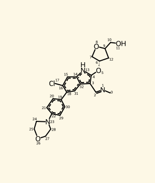 C/N=C/c1c(O[C@@H]2COC(CO)C2)[nH]c2cc(Cl)c(-c3ccc(N4CCOCC4)cc3)cc12